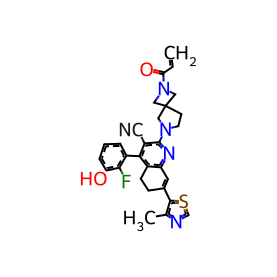 C=CC(=O)N1CC2(CCN(c3nc4c(c(-c5cccc(O)c5F)c3C#N)CCC(c3scnc3C)=C4)C2)C1